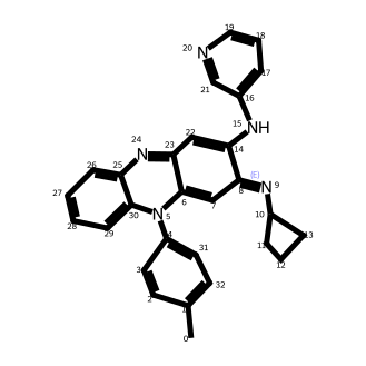 Cc1ccc(-n2c3c/c(=N\C4CCC4)c(Nc4cccnc4)cc-3nc3ccccc32)cc1